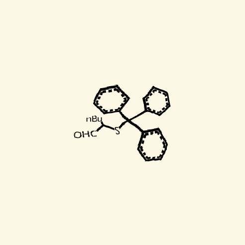 CCCCC(C=O)SC(c1ccccc1)(c1ccccc1)c1ccccc1